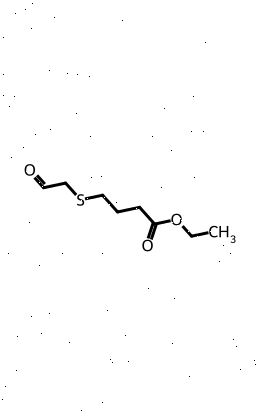 CCOC(=O)CCCSCC=O